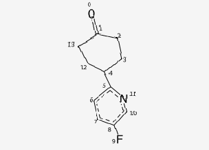 O=C1CCC(c2ccc(F)cn2)CC1